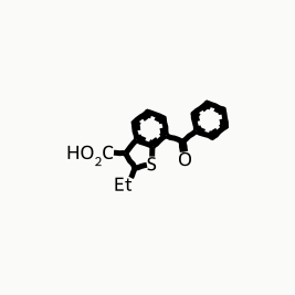 CCC1Sc2c(C(=O)c3ccccc3)cccc2C1C(=O)O